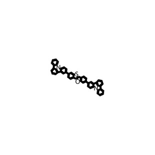 c1ccc2c(c1)c1cccc3c4cc(-c5ccc6c(c5)oc5c7ccc(-c8ccc9c(c8)c8cccc%10c%11ccccc%11n9c%108)cc7sc65)ccc4n2c13